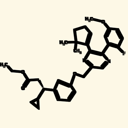 CCOC(=O)C[C@H](c1cccc(OCc2cnc(-c3cc(OC)ccc3F)c(C3=CCCC3(C)C)n2)c1)C1CC1